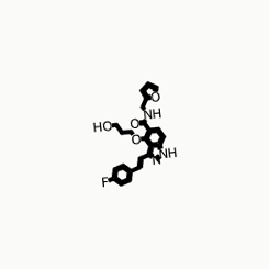 O=C(NCc1ccco1)c1ccc2[nH]nc(/C=C/c3ccc(F)cc3)c2c1OCCCO